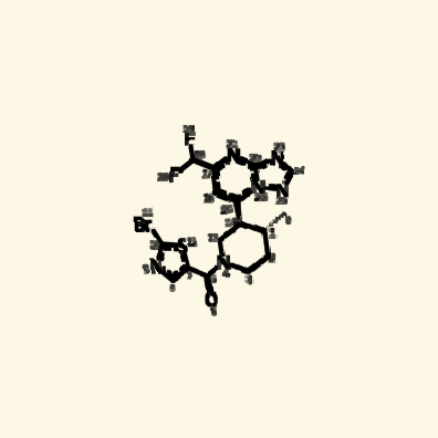 C[C@@H]1CCN(C(=O)c2cnc(Br)s2)C[C@H]1c1cc(C(F)F)nc2ncnn12